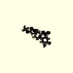 CC(C)(C)OC(=O)CC1(O)CCN(c2cc(F)c(F)cc2[N+](=O)[O-])CC1